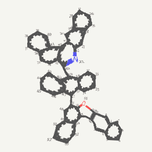 C1=c2ccccc2=CC2c3c(c(-c4c5ccccc5c(-c5nc6cc7ccccc7cc6c6c5ccc5ccccc56)c5ccccc45)cc4ccccc34)OC12